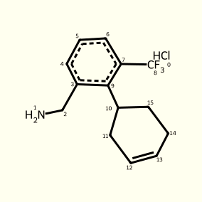 Cl.NCc1cccc(C(F)(F)F)c1C1CC=CCC1